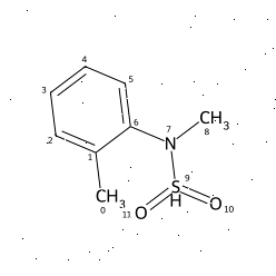 Cc1ccccc1N(C)[SH](=O)=O